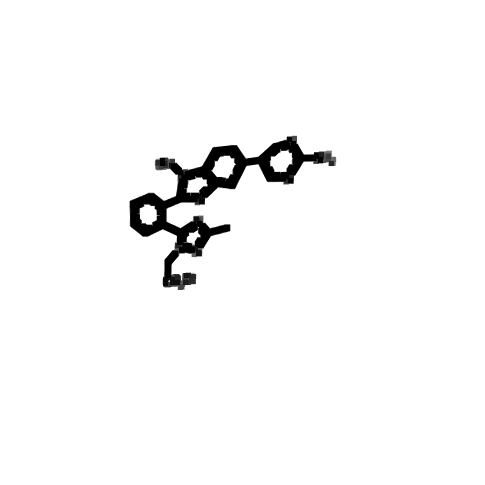 CCOC(=O)Cn1nc(C)nc1-c1ccccc1-c1nc2cc(-c3cnc(N)nc3)ccc2n1C(C)(C)C